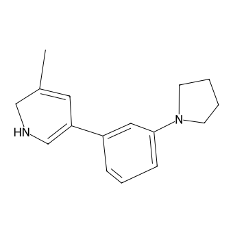 CC1=CC(c2cccc(N3CCCC3)c2)=CNC1